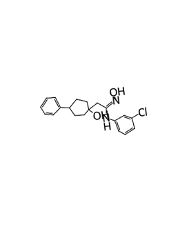 O/N=C(\CC1(O)CCC(c2ccccc2)CC1)Nc1cccc(Cl)c1